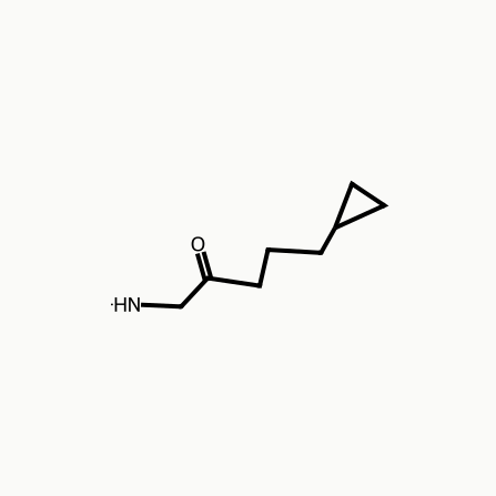 [NH]CC(=O)CCCC1CC1